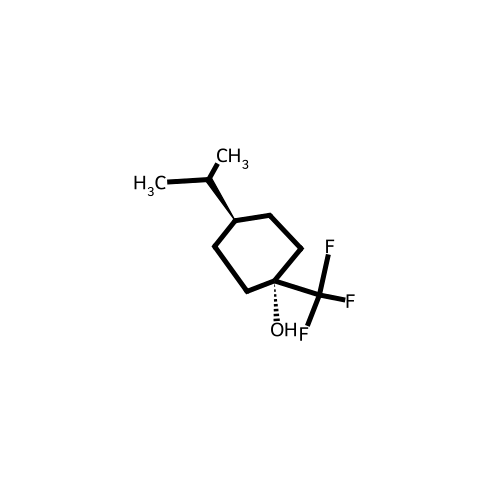 CC(C)[C@H]1CC[C@@](O)(C(F)(F)F)CC1